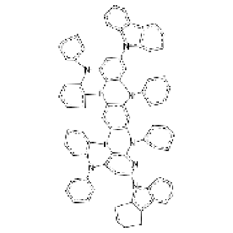 C1=Cc2c(c3ccccc3n2-c2cc3c4c(n2)N(c2ccccc2)c2cc5c(cc2B4c2ccccc2N3c2ccccc2)B2c3ccccc3N(c3ccccc3)c3cc(-n4c6ccccc6c6ccccc64)cc(c32)N5c2ccccc2)CC1